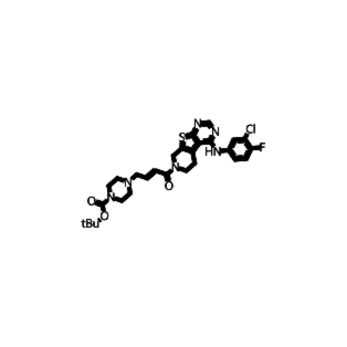 CC(C)(C)OC(=O)N1CCN(CC=CC(=O)N2CCc3c(sc4ncnc(Nc5ccc(F)c(Cl)c5)c34)C2)CC1